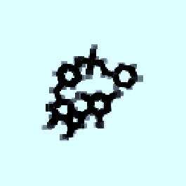 CC(C)c1nn(-c2c(Cl)cc(Cl)cc2Cl)c2nc(Cc3ccc(NS(=O)(=O)CCN4CCOCC4)cc3)[nH]c(=O)c12